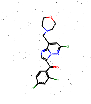 O=C(c1ccc(Cl)cc1Cl)c1cnc2c(CN3CCOCC3)cc(Cl)nn12